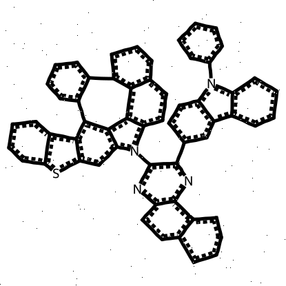 c1ccc(-n2c3ccccc3c3cc(-c4nc5c(ccc6ccccc65)nc4-n4c5cc6sc7ccccc7c6c6c5c5c7c(cccc7ccc54)-c4ccccc4-6)ccc32)cc1